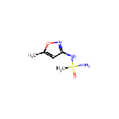 Cc1cc(N[SH](C)(N)=O)no1